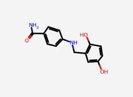 NC(=O)c1ccc(NCc2cc(O)ccc2O)cc1